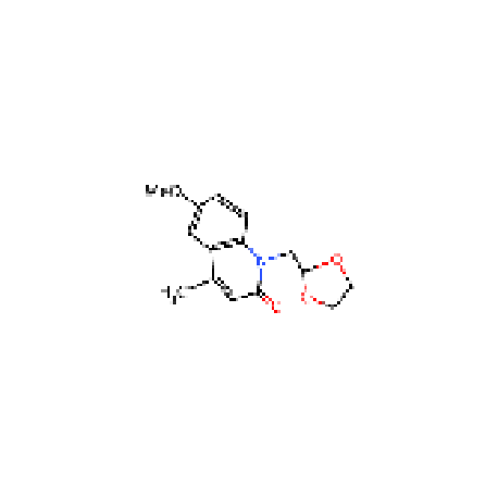 COc1ccc2c(c1)c(C)cc(=O)n2CC1OCCO1